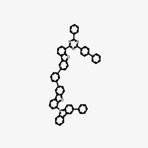 c1ccc(-c2ccc(-c3nc(-c4ccccc4)nc(-c4cccc5c4oc4ccc(-c6cccc(-c7ccc8oc9c(-n%10c%11ccccc%11c%11cc(-c%12ccccc%12)ccc%11%10)cccc9c8c7)c6)cc45)n3)cc2)cc1